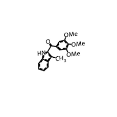 COc1cc(C(=O)c2[nH]c3ccccc3c2C)cc(OC)c1OC